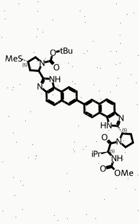 COC(=O)N[C@H](C(=O)N1CCC[C@H]1c1nc2ccc3cc(-c4ccc5c(ccc6nc(C7C[C@H](SC)CN7C(=O)OC(C)(C)C)[nH]c65)c4)ccc3c2[nH]1)C(C)C